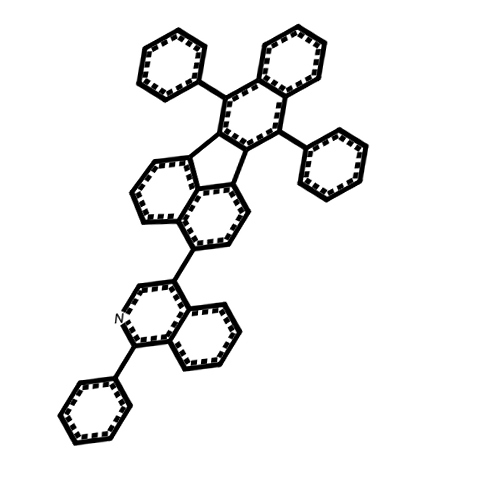 c1ccc(-c2ncc(-c3ccc4c5c(cccc35)-c3c-4c(-c4ccccc4)c4ccccc4c3-c3ccccc3)c3ccccc23)cc1